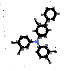 Cc1ccc(N(c2ccc(C)c(C)c2)c2ccc(-c3ccccc3)c(C)c2)cc1C